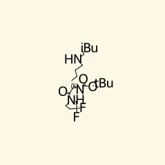 CCC(C)CNCCCC[C@H](NC(=O)OC(C)(C)C)C(=O)N1CCC(F)(F)C1